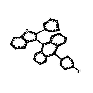 Brc1ccc(-c2c3ccccc3c(-c3c(-c4ccccc4)oc4ccccc34)c3ccccc23)cc1